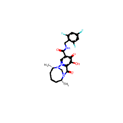 C[C@@H]1CCC[C@H](C)N2CN1C(=O)c1c(O)c(=O)c(C(=O)NCc3c(F)cc(F)cc3F)cn12